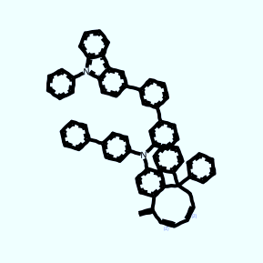 C=C1/C=C\C=C/CC(c2ccccc2)(c2ccccc2)c2cc(N(c3ccc(-c4ccccc4)cc3)c3cccc(-c4cccc(-c5ccc6c(c5)c5ccccc5n6-c5ccccc5)c4)c3)ccc21